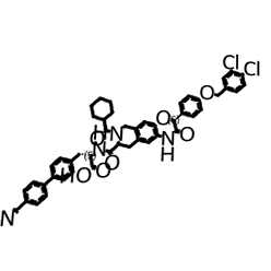 N#Cc1ccc(-c2ccc(C[C@H](NC(=O)C3Cc4cc5c(cc4CN3C(=O)C3CCCCC3)O[C@@H](c3ccc(OCc4ccc(Cl)c(Cl)c4)cc3)C(=O)N5)C(=O)O)cc2)cc1